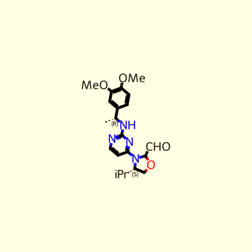 COc1ccc([C@@H](C)Nc2nccc(N3C(C=O)OC[C@@H]3C(C)C)n2)cc1OC